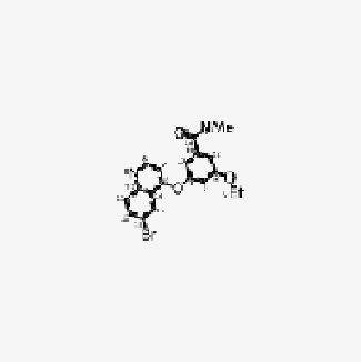 CCOc1cc(Oc2ccnc3ccc(Br)cc23)cc(C(=O)NC)c1